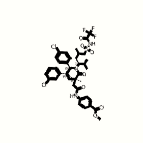 COC(=O)c1ccc(NC(=O)C[C@@]2(C)C[C@H](c3cccc(Cl)c3)[C@@H](c3ccc(Cl)cc3)N([C@@H](CC(C)CS(=O)(=O)NC(=O)C(F)(F)F)C(C)C)C2=O)cc1